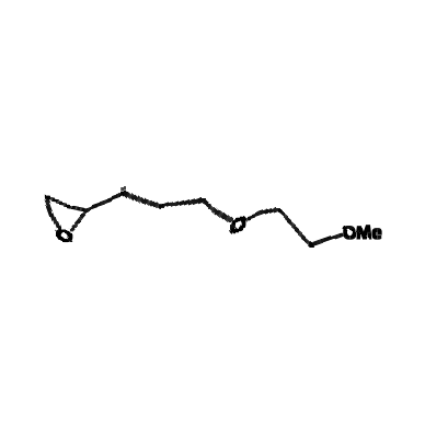 COCCOCC[CH]C1CO1